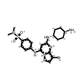 CN(C)S(=O)(=O)c1ccc(Nc2cc(N[C@H]3CC[C@H](N)CC3)nc3c(Br)cnn23)cc1